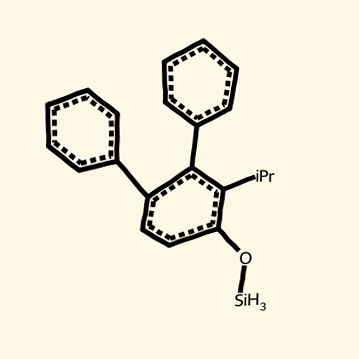 CC(C)c1c(O[SiH3])ccc(-c2ccccc2)c1-c1ccccc1